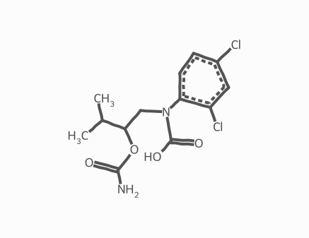 CC(C)C(CN(C(=O)O)c1ccc(Cl)cc1Cl)OC(N)=O